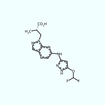 C[C@@H](Cn1ncc2ncc(Nc3cc(OC(F)F)[nH]n3)nc21)C(=O)O